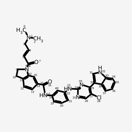 CN(C)CC=CC(=O)N1CCc2ccc(C(=O)Nc3cccc(Nc4ncc(Cl)c(-c5c[nH]c6ccccc56)n4)c3)cc21